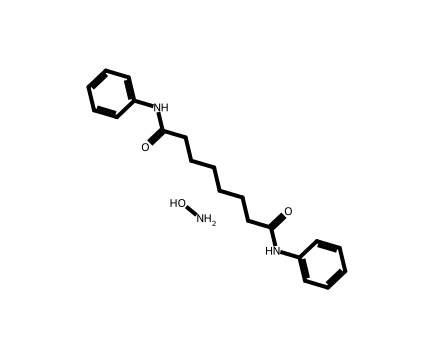 NO.O=C(CCCCCCC(=O)Nc1ccccc1)Nc1ccccc1